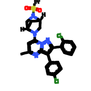 Cc1cc(N2C[C@@H]3C[C@H]2CN3S(=O)(=O)C(C)C)n2nc(-c3ccccc3Cl)c(-c3ccc(Cl)cc3)c2n1